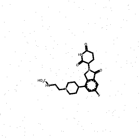 O=C(O)NCCN1CCC(c2cc(F)cc3c2CN(C2CCC(=O)NC2=O)C3=O)CC1